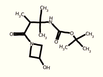 CC(C(=O)N1CC(O)C1)C(C)(C)NC(=O)OC(C)(C)C